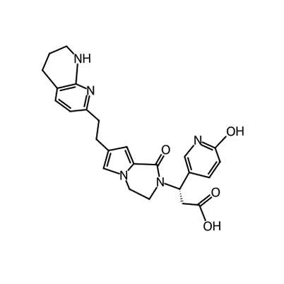 O=C(O)C[C@@H](c1ccc(O)nc1)N1CCn2cc(CCc3ccc4c(n3)NCCC4)cc2C1=O